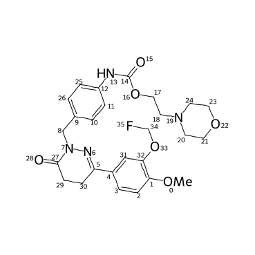 COc1ccc(C2=NN(Cc3ccc(NC(=O)OCCN4CCOCC4)cc3)C(=O)CC2)cc1OCF